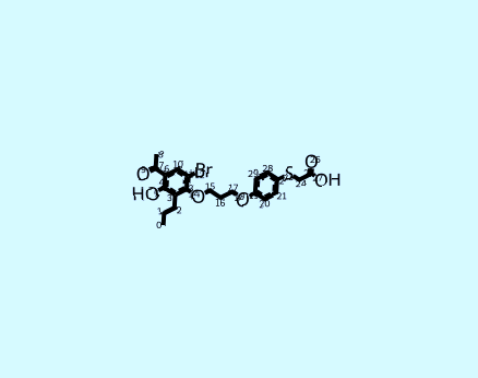 CCCc1c(O)c(C(C)=O)cc(Br)c1OCCCOc1ccc(SCC(=O)O)cc1